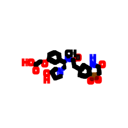 CN(C(=O)Cc1ccc2c(c1)NC(=O)CS2(=O)=O)[C@H](CN1CC[C@@H](O)C1)c1cccc(OCC(=O)O)c1